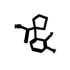 O=C(O)C1(c2cccc(F)c2F)CCCC1